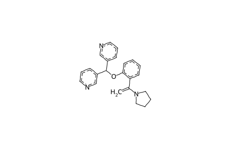 C=C(c1ccccc1OC(c1cccnc1)c1cccnc1)N1CCCC1